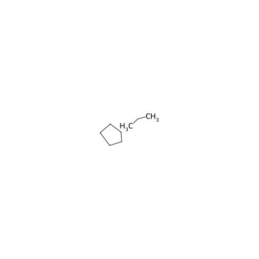 C1CCCC1.CCC